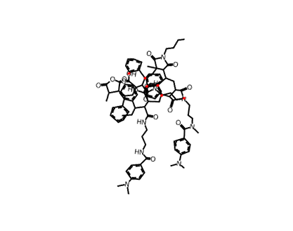 CCCCNC(=O)C(C(CC(c1ccccc1)C1C(=O)OC(=O)C1C)C(=O)O)C(CC1(C)C(=O)N(CCCC)C(=O)C1C(CC1C(=O)N(CCCN(C)C(=O)c2ccc(N(C)C)cc2)C(=O)C1C(CC(C(=O)O)C(C(=O)NCCCNC(=O)c1ccc(N(C)C)cc1)C(CC)c1ccccc1)c1ccccc1)c1ccccc1)c1ccccc1